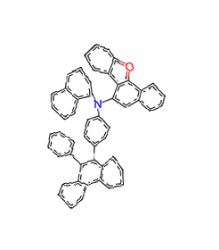 c1ccc(-c2c(-c3ccc(N(c4cccc5ccccc45)c4cc5ccccc5c5oc6ccccc6c45)cc3)c3ccccc3c3ccccc23)cc1